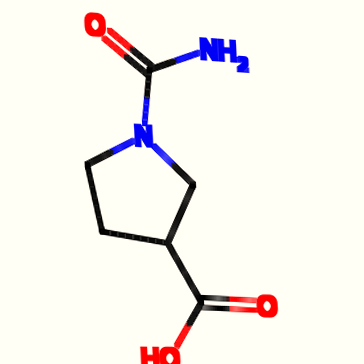 NC(=O)N1CCC(C(=O)O)C1